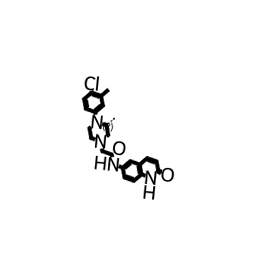 Cc1cc(N2CCN(CC(=O)Nc3ccc4[nH]c(=O)ccc4c3)C[C@H]2C)ccc1Cl